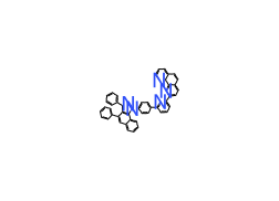 c1ccc(-c2cc3ccccc3c3c2c(-c2ccccc2)nn3-c2ccc(-c3cccc(-c4ccc5ccc6cccnc6c5n4)n3)cc2)cc1